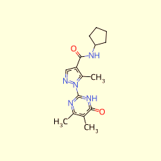 Cc1nc(-n2ncc(C(=O)NC3CCCC3)c2C)[nH]c(=O)c1C